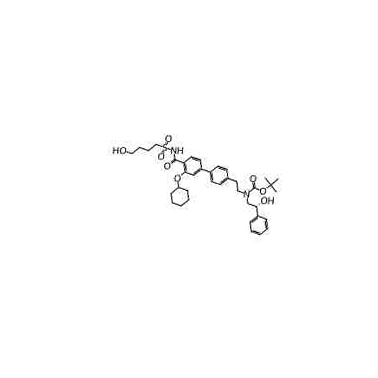 CC(C)(C)OC(=O)N(CCc1ccc(-c2ccc(C(=O)NS(=O)(=O)CCCCO)c(OC3CCCCC3)c2)cc1)C[C@H](O)c1ccccc1